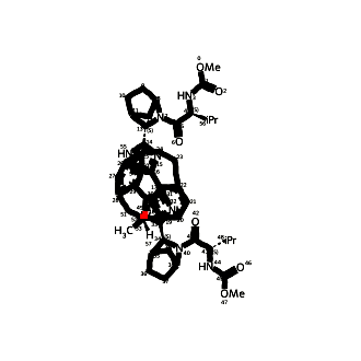 COC(=O)N[C@H](C(=O)N1C2CCC(C2)[C@H]1c1nc(-c2cc3ccc2CCc2ccc(c(-c4c[nH]c([C@@H]5C6CCC(C6)N5C(=O)[C@@H](NC(=O)OC)C(C)C)n4)c2)C[C@H]3C)c[nH]1)C(C)C